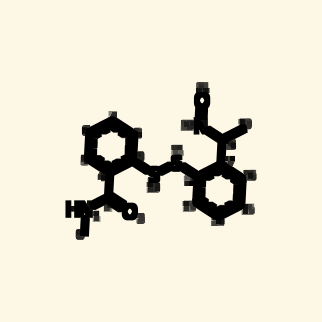 CNC(=O)c1ccccc1SSc1ccccc1C(C)N=O